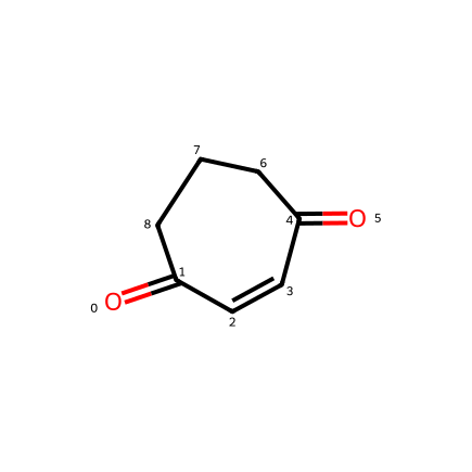 O=C1C=CC(=O)CCC1